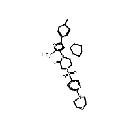 CC1C=CC(c2cc(N3C(=O)CN(S(=O)(=O)c4ccc(N5CCOCC5)nc4)C[C@H]3C3CCCCC3)c(C(=O)O)s2)=CC1